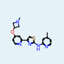 Cc1ccnc(Nc2nc(-c3cc(OC4CN(C)C4)ccn3)cs2)c1